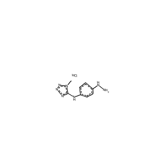 Cl.Cn1nnnc1Nc1ccc(NN)cc1